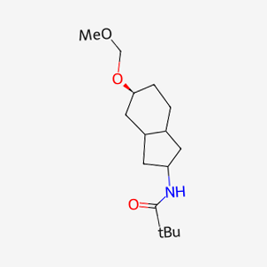 COCO[C@H]1CCC2CC(NC(=O)C(C)(C)C)CC2C1